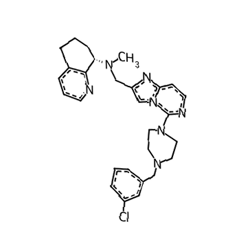 CN(Cc1cn2c(N3CCN(Cc4cccc(Cl)c4)CC3)nccc2n1)[C@H]1CCCc2cccnc21